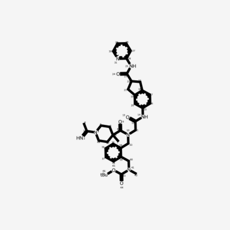 CC(=N)N1CCC(C)(C(=O)N(CC(=O)Nc2ccc3c(c2)CC(C(=O)Nc2ccccn2)C3)Cc2ccccc2CN(C)C(=O)OC(C)(C)C)CC1